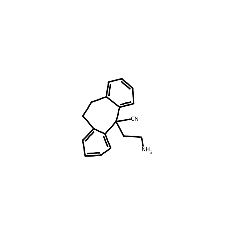 N#CC1(CCN)c2ccccc2CCc2ccccc21